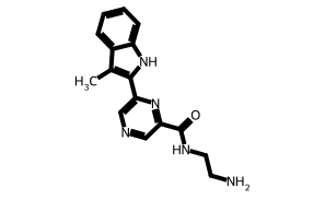 Cc1c(-c2cncc(C(=O)NCCN)n2)[nH]c2ccccc12